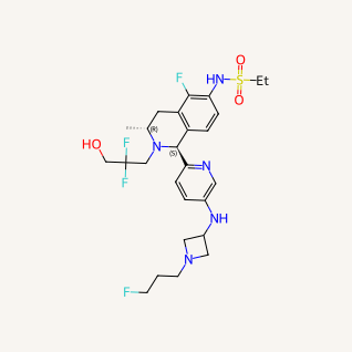 CCS(=O)(=O)Nc1ccc2c(c1F)C[C@@H](C)N(CC(F)(F)CO)[C@@H]2c1ccc(NC2CN(CCCF)C2)cn1